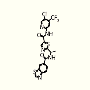 C[C@@H](NC(=O)c1ccc2ncsc2c1)c1ncc(C(=O)Nc2cc(C(F)(F)F)c(Cl)cn2)s1